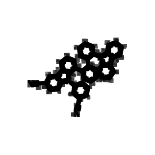 N#Cc1cccc(-n2c3ccc(C#N)cc3c3cccc(-c4ccccc4-c4ccccc4-n4c5ccccc5c5ccccc54)c32)c1